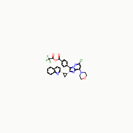 O=C(OC(=O)C(F)(F)F)c1ccc(-c2c([C@@H]3C[C@@H]3c3ccc4ccccc4n3)nc3c(N4CCOCC4)cc(Cl)nn23)cc1